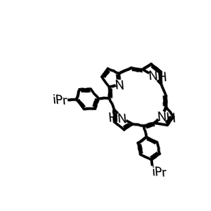 CC(C)c1ccc(/C2=C3\C=CC(=N3)/C=C3/C=CC(/C=c4/cc/c([nH]4)=C(\c4ccc(C(C)C)cc4)c4ccc2[nH]4)N3)cc1